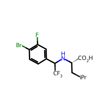 CC(C)C[C@H](NC(c1ccc(Br)c(F)c1)C(F)(F)F)C(=O)O